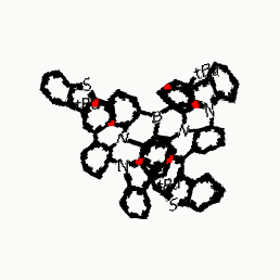 CC(C)(C)c1ccc2c(c1)N(c1c(-c3ccc4sc5ccccc5c4c3)cccc1-n1c3ccccc3c3ccccc31)c1cc(C(C)(C)C)cc3c1B2c1ccc(C(C)(C)C)cc1N3c1c(-c2cccc3sc4ccccc4c23)cccc1-n1c2ccccc2c2ccccc21